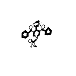 CN(C)C(=O)CN1C[C@H](C(=O)c2ccccc2)C(c2nccs2)[C@@H](C(=O)c2ccccc2)C1